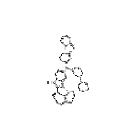 c1ccc(-c2cccc(N(c3ccc4c(c3)sc3ccccc34)c3ccc4[nH]c5c(c4c3)-c3cccc4cccc-5c34)c2)cc1